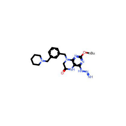 CCCCOc1nc(NN=N)c2c(n1)N(Cc1cccc(CN3CCCCC3)c1)CC(=O)N2